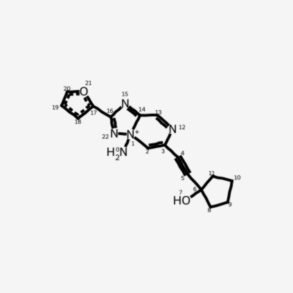 N[N+]12C=C(C#CC3(O)CCCC3)N=CC1=NC(c1ccco1)=N2